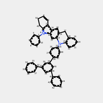 C1=Cc2c(n(-c3ccccc3)c3cc4c(cc23)Cc2ccccc2N4c2ccc(-c3cc(-c4ccccc4)cc(-c4ccccc4)c3)cc2)CC1